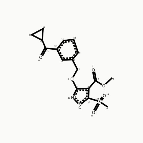 COC(=O)c1c(OCc2cccc(C(=O)C3CC3)c2)nsc1S(C)(=O)=O